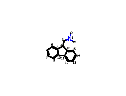 CN(C)CC1c2ccccc2-c2ccccc21